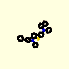 C1=C(N(c2ccccc2)c2cccc3ccccc23)CCc2sc3c(ccc4c5cc(-c6ccccc6)ccc5n(-c5ccccc5)c43)c21